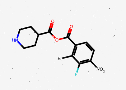 CCc1c(C(=O)OC(=O)C2CCNCC2)ccc([N+](=O)[O-])c1F